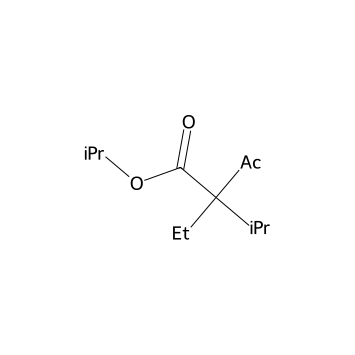 CCC(C(C)=O)(C(=O)OC(C)C)C(C)C